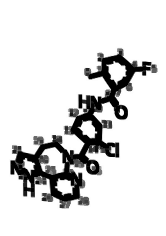 Cc1ccc(F)cc1C(=O)Nc1ccc(C(=O)N2CCc3cn[nH]c3-c3cccnc32)c(Cl)c1